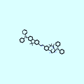 C\C1=C/C=C(N(c2ccccc2)c2ccccc2)\C=C(/C)C(C)(C)c2cc(/C=C/c3ccc4c(c3)C(C)(C)c3cc(N(C5=CC=CCC5)c5ccccc5)ccc3-4)ccc21